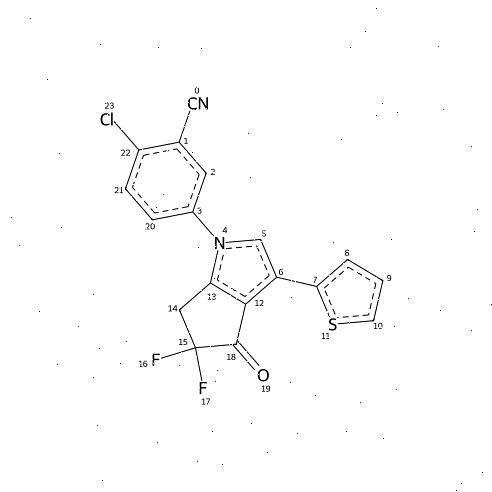 N#Cc1cc(-n2cc(-c3cccs3)c3c2CC(F)(F)C3=O)ccc1Cl